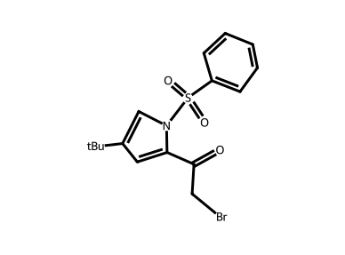 CC(C)(C)c1cc(C(=O)CBr)n(S(=O)(=O)c2ccccc2)c1